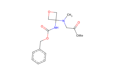 COC(=O)CN(C)C1(NC(=O)OCc2ccccc2)COC1